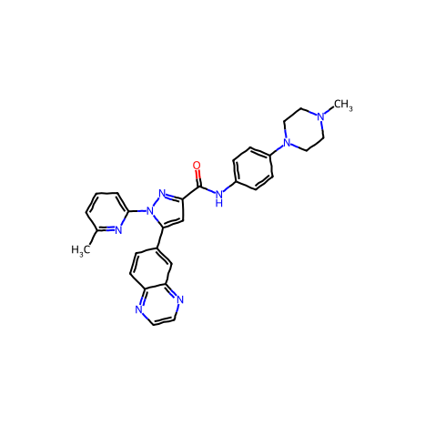 Cc1cccc(-n2nc(C(=O)Nc3ccc(N4CCN(C)CC4)cc3)cc2-c2ccc3nccnc3c2)n1